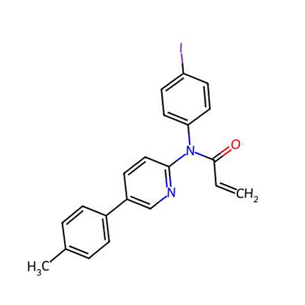 C=CC(=O)N(c1ccc(I)cc1)c1ccc(-c2ccc(C)cc2)cn1